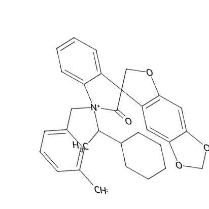 [CH]c1cccc(C[N+]2(C(C)C3CCCCC3)C(=O)C3(COc4cc5c(cc43)OCO5)c3ccccc32)c1